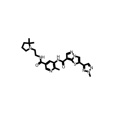 Cc1ncc(C(=O)NCCN2CCCC2(C)C)cc1NC(=O)c1cnn2cc(-c3cnn(C)n3)sc12